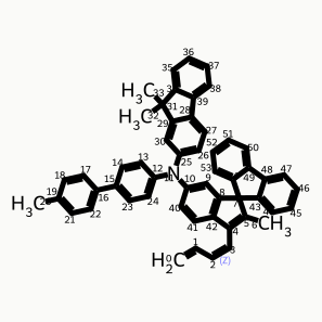 C=C/C=C\C1=C(C)C2(c3cc(N(c4ccc(-c5ccc(C)cc5)cc4)c4ccc5c(c4)C(C)(C)c4ccccc4-5)ccc31)c1ccccc1-c1ccccc12